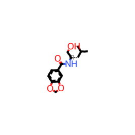 CC(C)C[C@@H](CO)NC(=O)c1ccc2c(c1)OCO2